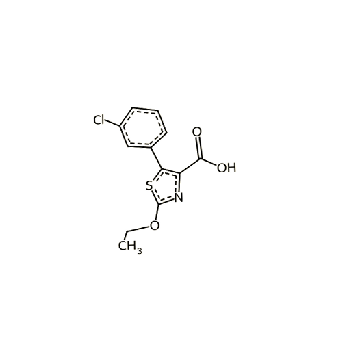 CCOc1nc(C(=O)O)c(-c2cccc(Cl)c2)s1